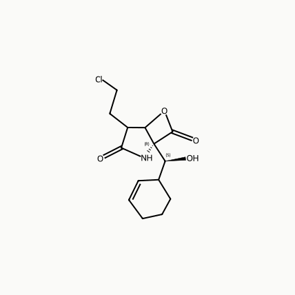 O=C1N[C@@]2([C@@H](O)C3C=CCCC3)C(=O)OC2C1CCCl